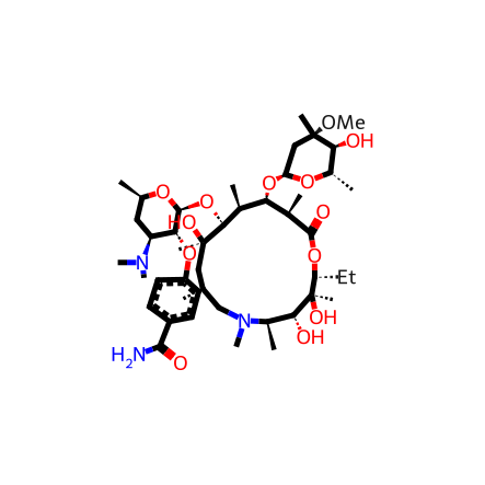 CC[C@H]1OC(=O)[C@H](C)[C@@H](O[C@H]2C[C@@](C)(OC)[C@@H](O)[C@H](C)O2)[C@H](C)[C@@H](O[C@@H]2O[C@H](C)C[C@H](N(C)C)[C@H]2Oc2ccc(C(N)=O)cc2)[C@](C)(O)C[C@@H](C)CN(C)[C@H](C)[C@@H](O)[C@]1(C)O